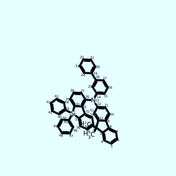 CC1(C)c2ccccc2-c2ccc(N(c3cccc(-c4ccccc4)c3)c3cccc4c3-c3ccccc3[Si]4(c3ccccc3)c3ccccc3)cc21